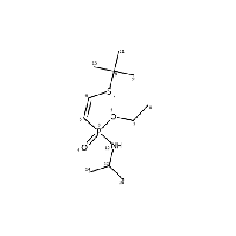 CCOP(=O)(/C=C\SC(C)(C)C)NC(C)C